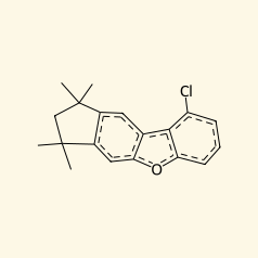 CC1(C)CC(C)(C)c2cc3c(cc21)oc1cccc(Cl)c13